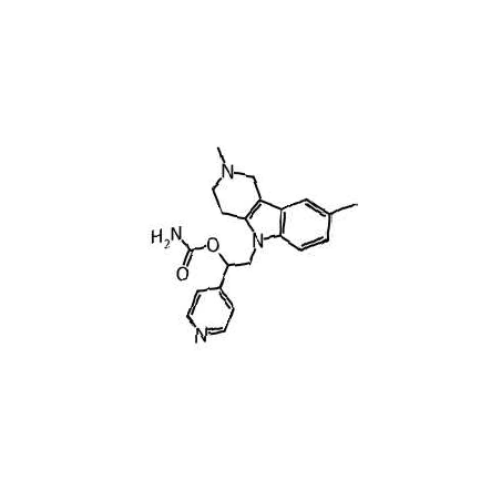 Cc1ccc2c(c1)c1c(n2CC(OC(N)=O)c2ccncc2)CCN(C)C1